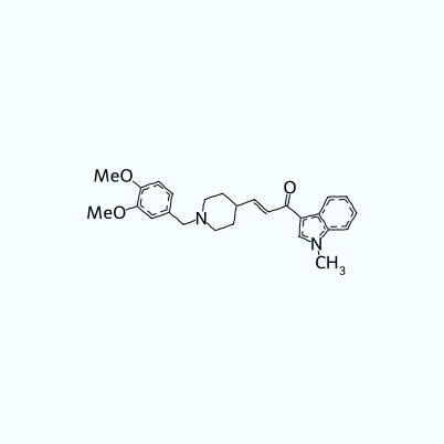 COc1ccc(CN2CCC(C=CC(=O)c3cn(C)c4ccccc34)CC2)cc1OC